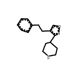 c1ccc(CCc2conc2C2CCNCC2)cc1